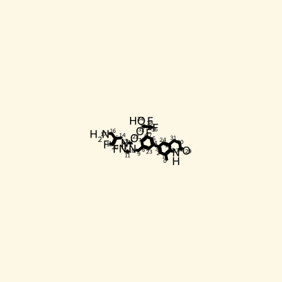 Cc1cc(-c2cccc(Cn3cnn(CC(CN)=C(F)F)c3=O)c2)cc2c1NC(=O)CC2.O=C(O)C(F)(F)F